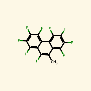 Cc1c(F)c2c(F)c(F)c(F)c(F)c2c2c(F)c(F)c(F)c(F)c12